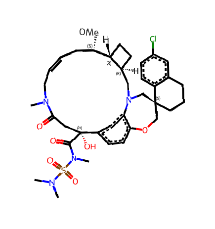 CO[C@H]1CC=CCN(C)C(=O)C[C@](O)(C(=O)N(C)S(=O)(=O)N(C)C)c2ccc3c(c2)N(C[C@@H]2CC[C@H]21)C[C@@]1(CCCc2cc(Cl)ccc21)CO3